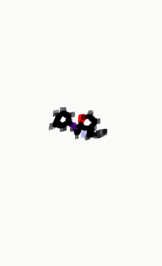 CC/C=C1\CCOC12CI2c1ccccc1